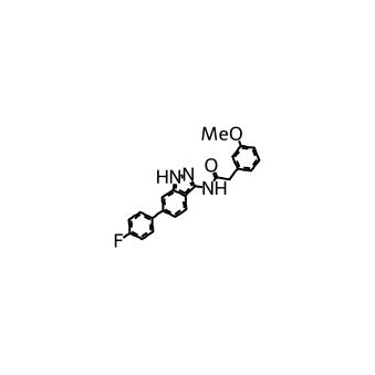 COc1cccc(CC(=O)Nc2n[nH]c3cc(-c4ccc(F)cc4)ccc23)c1